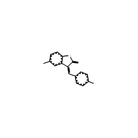 O=C1Nc2ccc(Cl)cc2C1=Cc1ccc(Br)cc1